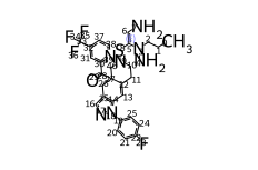 CCCN(N)/C(=C\N)SN1CCC2=Cc3c(cnn3-c3ccc(F)cc3)CC2(C(=O)c2cc(C(F)(F)F)ccn2)C1